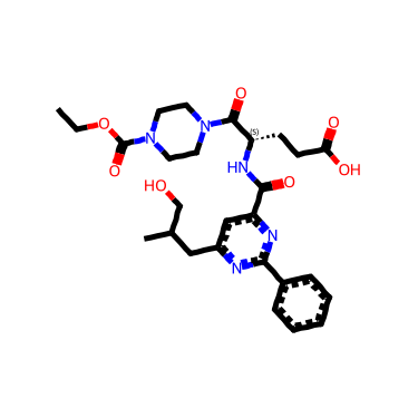 CCOC(=O)N1CCN(C(=O)[C@H](CCC(=O)O)NC(=O)c2cc(CC(C)CO)nc(-c3ccccc3)n2)CC1